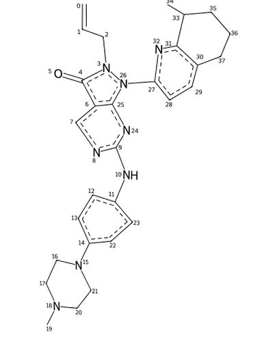 C=CCn1c(=O)c2cnc(Nc3ccc(N4CCN(C)CC4)cc3)nc2n1-c1ccc2c(n1)C(C)CCC2